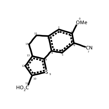 COc1cc2c(cc1C#N)-c1sc(C(=O)O)cc1CC2